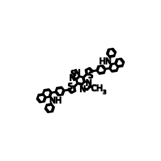 Cc1cnc2c(-c3ccc(-c4ccc(-c5ccc6ccccc6c5Nc5ccccc5)cc4)s3)c3nsnc3c(-c3ccc(-c4ccc(-c5ccc6ccccc6c5Nc5ccccc5)cc4)s3)c2n1